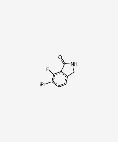 CC(C)c1ccc2c(c1F)C(=O)NC2